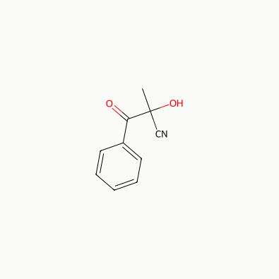 CC(O)(C#N)C(=O)c1ccccc1